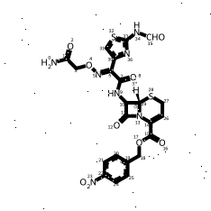 NC(=O)CON=C(C(=O)NC1C(=O)N2C(C(=O)OCc3ccc([N+](=O)[O-])cc3)=CCS[C@@H]12)c1csc(NC=O)n1